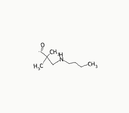 CCCCNCC(C)(C)[C]=O